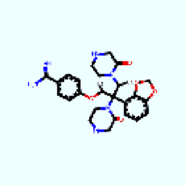 CCC(Oc1ccc(C(=N)N)cc1)C(c1cccc2c1OCO2)(C(C(=O)O)N1CCNCC1=O)N1CCNCC1=O